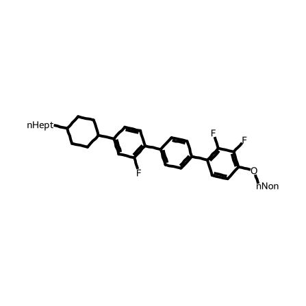 CCCCCCCCCOc1ccc(-c2ccc(-c3ccc(C4CCC(CCCCCCC)CC4)cc3F)cc2)c(F)c1F